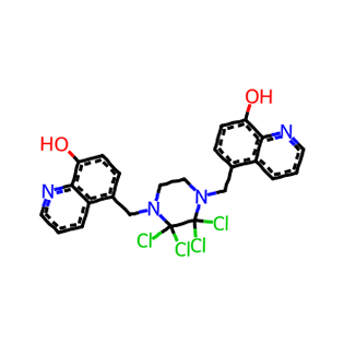 Oc1ccc(CN2CCN(Cc3ccc(O)c4ncccc34)C(Cl)(Cl)C2(Cl)Cl)c2cccnc12